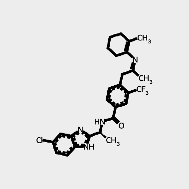 CC1=C(/N=C(/C)Cc2ccc(C(=O)N[C@@H](C)c3nc4cc(Cl)ccc4[nH]3)cc2C(F)(F)F)CCCC1